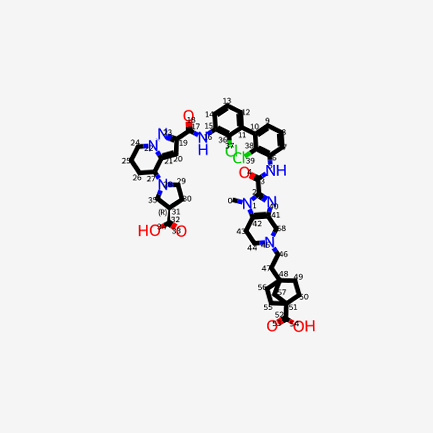 Cn1c(C(=O)Nc2cccc(-c3cccc(NC(=O)c4cc5n(n4)CCCC5N4CC[C@@H](C(=O)O)C4)c3Cl)c2Cl)nc2c1CCN(CCC13CCC(C(=O)O)(CC1)C3)C2